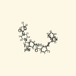 Cc1ccc(C(=O)Nc2ccc(CN3CCN(C(=O)OC(C)(C)C)CC3)c(C(F)(F)F)c2)cc1C#Cc1cnc2cccnn12